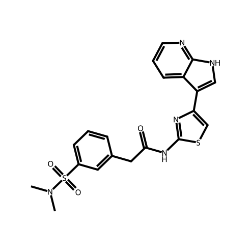 CN(C)S(=O)(=O)c1cccc(CC(=O)Nc2nc(-c3c[nH]c4ncccc34)cs2)c1